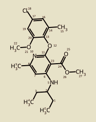 CCC(CC)Nc1cc(C)nc(Oc2c(C)cc(Cl)cc2OC)c1C(=O)OC